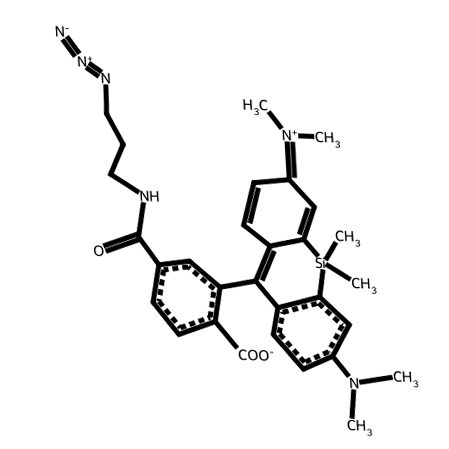 CN(C)c1ccc2c(c1)[Si](C)(C)C1=CC(=[N+](C)C)C=CC1=C2c1cc(C(=O)NCCCN=[N+]=[N-])ccc1C(=O)[O-]